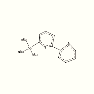 CCC[CH2][Sn]([CH2]CCC)([CH2]CCC)[c]1cccc(-c2ccccn2)n1